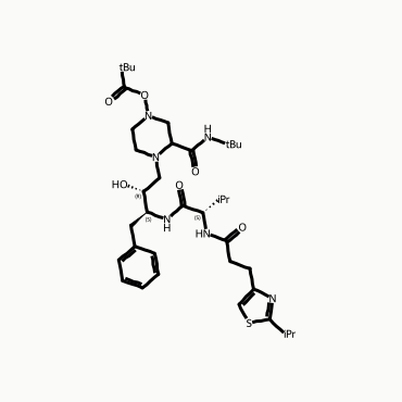 CC(C)c1nc(CCC(=O)N[C@H](C(=O)N[C@@H](Cc2ccccc2)[C@H](O)CN2CCN(OC(=O)C(C)(C)C)CC2C(=O)NC(C)(C)C)C(C)C)cs1